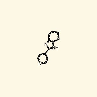 c1ccc2[nH]c(-c3ccncc3)nc2c1